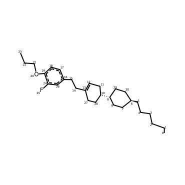 CCCCCC[C@H]1CC[C@H](C2CC=C(CCc3ccc(OCCC)c(F)c3)CC2)CC1